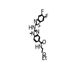 CCOCCNC(=O)c1ccc2c(c1)nc(Nc1nc3cc(F)c(F)cc3s1)n2C